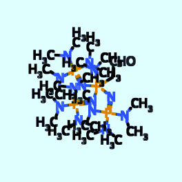 CN(C)P(=NP(CC=O)(N=P(N(C)C)(N(C)C)N(C)C)(N=P(N(C)C)(N(C)C)N(C)C)N(C)C)(N(C)C)N(C)C